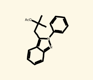 CC(=O)OC(C)(C)Cc1c2ccccc2nn1-c1ccccc1